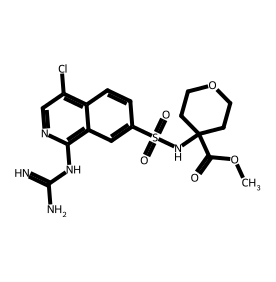 COC(=O)C1(NS(=O)(=O)c2ccc3c(Cl)cnc(NC(=N)N)c3c2)CCOCC1